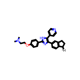 [2H]C1CCc2cc(-c3nc(-c4ccc(OCCN(C)C)cc4)[nH]c3-c3ccncc3)ccc21